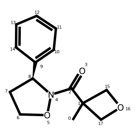 CC1(C(=O)N2OCC[C@H]2c2ccccc2)COC1